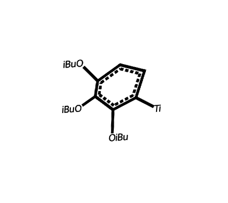 CC(C)COc1cc[c]([Ti])c(OCC(C)C)c1OCC(C)C